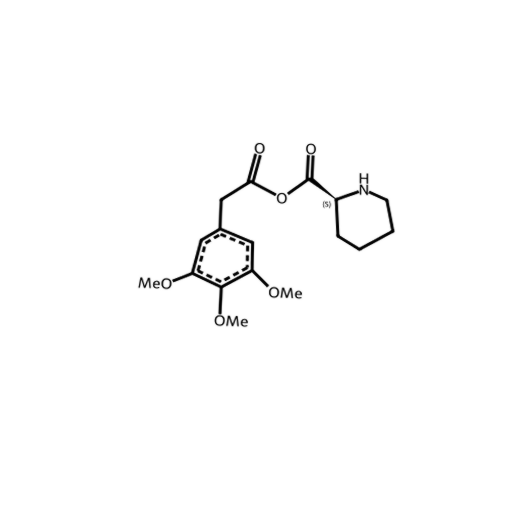 COc1cc(CC(=O)OC(=O)[C@@H]2CCCCN2)cc(OC)c1OC